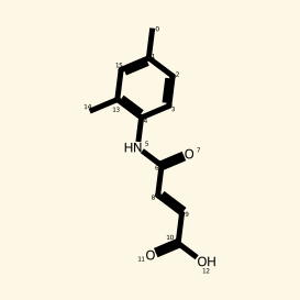 Cc1ccc(NC(=O)/C=C/C(=O)O)c(C)c1